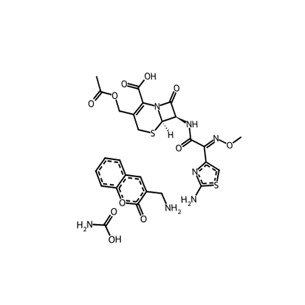 CON=C(C(=O)N[C@@H]1C(=O)N2C(C(=O)O)=C(COC(C)=O)CS[C@H]12)c1csc(N)n1.NC(=O)O.NCc1cc2ccccc2oc1=O